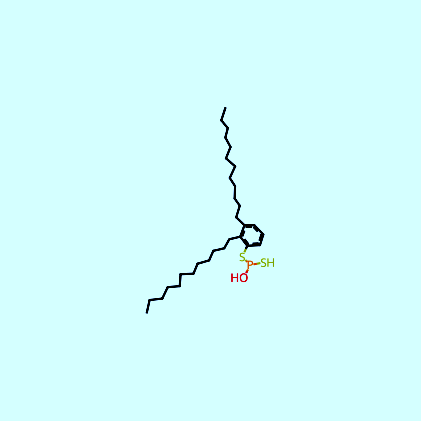 CCCCCCCCCCCCc1cccc(SP(O)S)c1CCCCCCCCCCCC